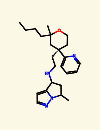 CCCCC1(C)C[C@](CCNC2CC(C)n3nccc32)(c2ccccn2)CCO1